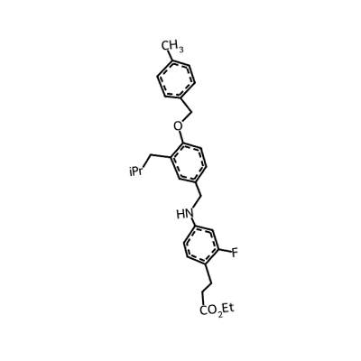 CCOC(=O)CCc1ccc(NCc2ccc(OCc3ccc(C)cc3)c(CC(C)C)c2)cc1F